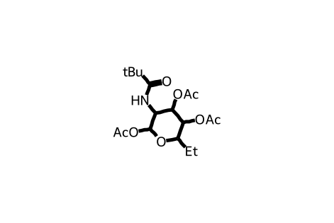 CCC1OC(OC(C)=O)C(NC(=O)C(C)(C)C)C(OC(C)=O)C1OC(C)=O